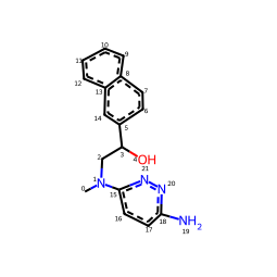 CN(CC(O)c1ccc2ccccc2c1)c1ccc(N)nn1